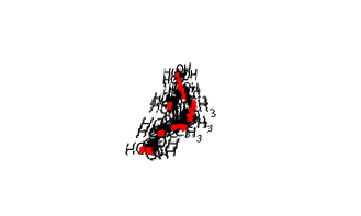 C[C@H](CCC(O[C@@H]1O[C@H](CO[C@@H]2O[C@H](CO)[C@@H](O)[C@H](O)[C@H]2O)[C@@H](O)[C@H](O)[C@H]1O[C@H]1O[C@@H](CO)[C@H](O)[C@@H](O)[C@@H]1O)C(C)(C)O)[C@H]1CC[C@@]2(C)[C@@H]3CC=C4[C@@H](CC[C@H](O[C@]5(C)O[C@H](CO[C@@H]6O[C@H](CO)[C@@H](O)[C@H](O)[C@H]6O)[C@@H](O)[C@H](O)[C@H]5O)C4(C)C)[C@]3(C)CC[C@]12C